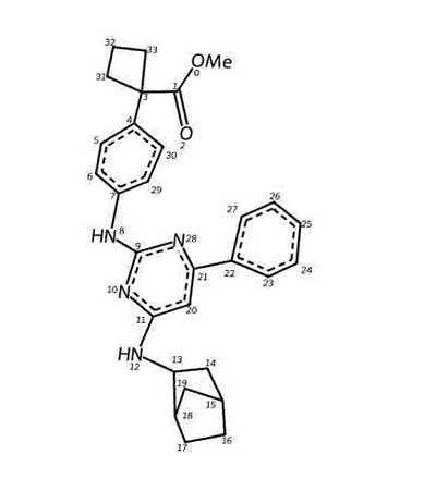 COC(=O)C1(c2ccc(Nc3nc(NC4CC5CCC4C5)cc(-c4ccccc4)n3)cc2)CCC1